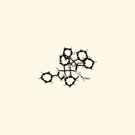 CCCCCCOc1ccccc1C1(C2(c3ccccc3OCCCCCC)N=C(c3ccccc3)C(c3ccccc3)(c3ccccc3)N2)N=CC(c2ccccc2)=N1